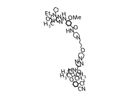 CC[C@@H]1C(=O)N(C)c2cnc(Nc3ccc(C(=O)NC4CCN(CCCCOC5CCN(c6ncc(C(=O)NC7C(C)(C)C(Oc8ccc(C#N)c(Cl)c8)C7(C)C)cn6)CC5)CC4)cc3OC)nc2N1C1CCCC1